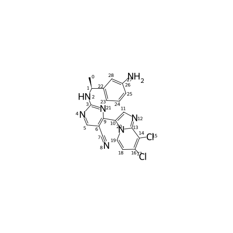 C[C@H](Nc1ncc(C#N)c(-c2cnc3c(Cl)c(Cl)ccn23)n1)c1cccc(N)c1